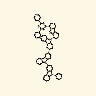 c1ccc(-c2nc(-c3ccccc3)nc(-c3cccc4c3sc3c(-n5c6ccccc6c6cc(-c7ccc8c(c7)c7ccccc7n8-c7ccc8c(c7)c7ccccc7n8-c7ccccc7)ccc65)cccc34)n2)cc1